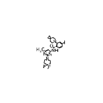 Cc1cc(NC(=O)c2ccc(I)cc2N2CCC3(CC2)CC3)nc(N2CCC(F)(F)CC2)n1